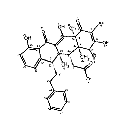 CCC(=O)C[C@@H]1[C@]2(C)C(=C(O)[C@@]3(O)C(=O)C(C(C)=O)=C(O)C(C(C)C)[C@@]13C)C(=O)c1c(O)cccc1[C@H]2CCc1ccccc1